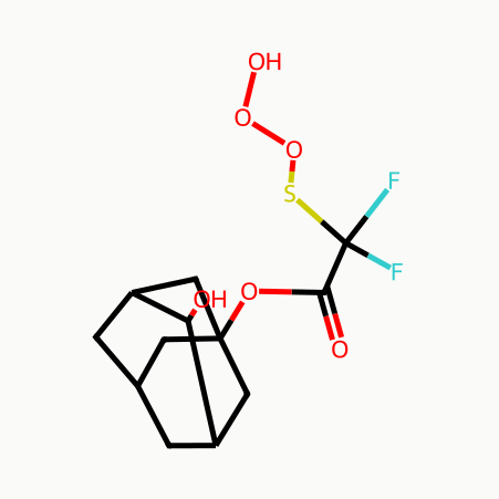 O=C(OC12CC3CC(C1)C(O)C(C3)C2)C(F)(F)SOOO